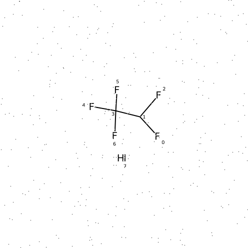 FC(F)C(F)(F)F.I